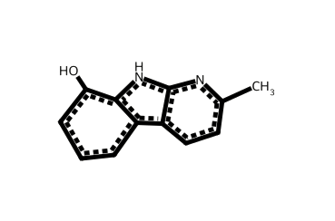 Cc1ccc2c(n1)[nH]c1c(O)cccc12